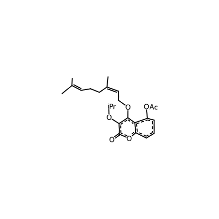 CC(=O)Oc1cccc2oc(=O)c(OC(C)C)c(OCC=C(C)CCC=C(C)C)c12